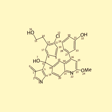 C=C1C=NC=C1C(O)(c1ccc(Cl)c(CCO)c1)c1ccc2nc(OC)cc(-c3cccc(O)c3)c2c1